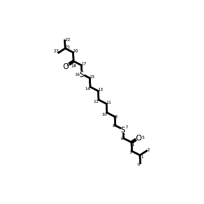 CC(C)CC(=O)CSCCCCCCCCSCC(=O)CC(C)C